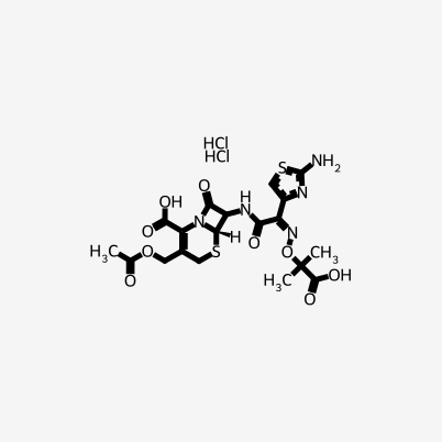 CC(=O)OCC1=C(C(=O)O)N2C(=O)C(NC(=O)/C(=N\OC(C)(C)C(=O)O)c3csc(N)n3)[C@@H]2SC1.Cl.Cl